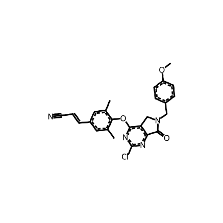 COc1ccc(CN2Cc3c(Oc4c(C)cc(/C=C/C#N)cc4C)nc(Cl)nc3C2=O)cc1